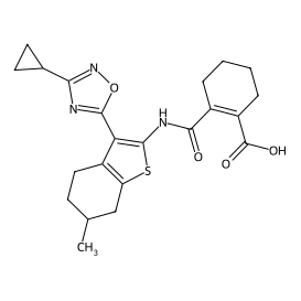 CC1CCc2c(sc(NC(=O)C3=C(C(=O)O)CCCC3)c2-c2nc(C3CC3)no2)C1